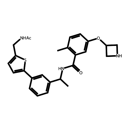 CC(=O)NCc1ccc(-c2cccc(C(C)NC(=O)c3cc(OC4CNC4)ccc3C)c2)s1